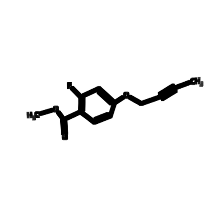 CC#CCOc1ccc(C(=O)OC)c(F)c1